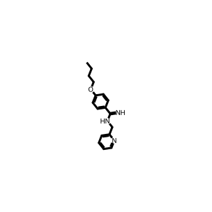 CCCCOc1ccc(C(=N)NCc2ccccn2)cc1